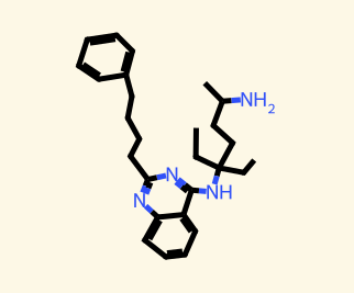 CCC(CC)(CCC(C)N)Nc1nc(CCCCc2ccccc2)nc2ccccc12